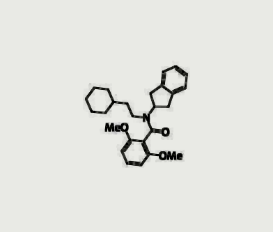 COc1cccc(OC)c1C(=O)N(CCC1CCCCC1)C1Cc2ccccc2C1